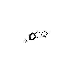 Nc1ccc(CC2COCN2)cc1